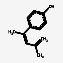 C=C(C)/C=C(/C)c1ccc(O)cc1